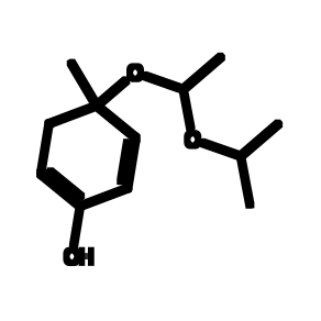 CC(C)OC(C)OC1(C)C=CC(O)=CC1